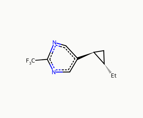 CC[C@H]1C[C@@H]1c1cnc(C(F)(F)F)nc1